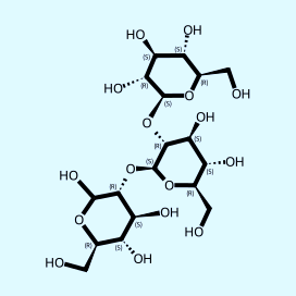 OC[C@H]1O[C@@H](O[C@H]2[C@H](O[C@H]3C(O)O[C@H](CO)[C@@H](O)[C@@H]3O)O[C@H](CO)[C@@H](O)[C@@H]2O)[C@H](O)[C@@H](O)[C@@H]1O